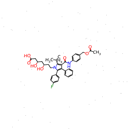 CC(=O)OCc1ccc(NC(=O)c2c(-c3ccccc3)c(-c3ccc(F)cc3)n(CC[C@@H](O)C[C@@H](O)CC(=O)O)c2C(C)C)cc1